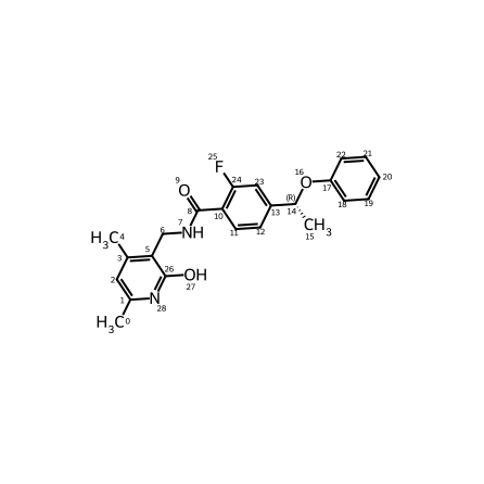 Cc1cc(C)c(CNC(=O)c2ccc([C@@H](C)Oc3ccccc3)cc2F)c(O)n1